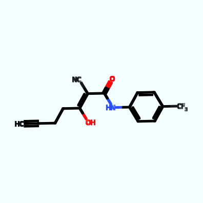 C#CCCC(O)=C(C#N)C(=O)Nc1ccc(C(F)(F)F)cc1